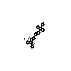 CC1(C)c2cc(-c3ccc4cc(-c5c6ccccc6c(-c6ccccc6)c6ccccc56)ccc4c3)ccc2-c2c1c1ccccc1c1c2oc2ccccc21